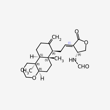 C=C1CC[C@@H]2[C@]3(C)COCO[C@@H]3CC[C@@]2(C)[C@@H]1C/C=C1/C(=O)OC[C@@H]1NC=O